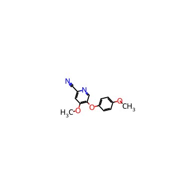 COc1ccc(Oc2cnc(C#N)cc2OC)cc1